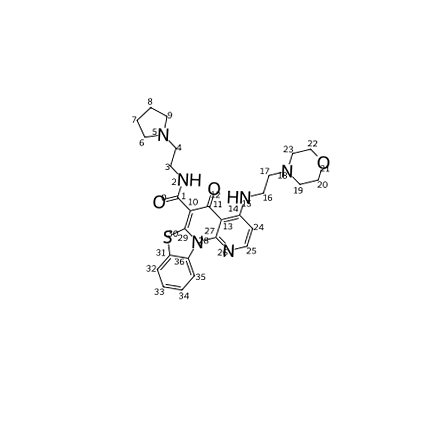 O=C(NCCN1CCCC1)c1c(=O)c2c(NCCN3CCOCC3)ccnc2n2c1sc1ccccc12